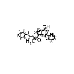 CN(CCCc1ccncc1)C(=O)c1csc2c(O)nc(-c3ccccn3)nc12